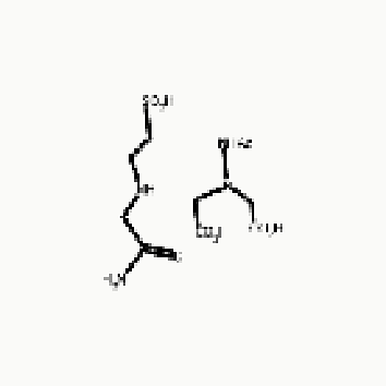 CC(=O)NN(CC(=O)O)CC(=O)O.NC(=O)CNCCS(=O)(=O)O